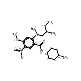 CNc1cc(N(C)CC(C)OC)c(C(=O)N[C@H]2CC[C@H](C)CC2)cc1[N+](=O)[O-]